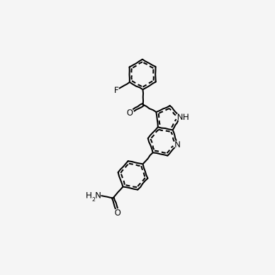 NC(=O)c1ccc(-c2cnc3[nH]cc(C(=O)c4ccccc4F)c3c2)cc1